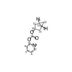 O=C(Oc1ccccn1)O[C@H]1C[C@@H]2C[C@@H]2C1